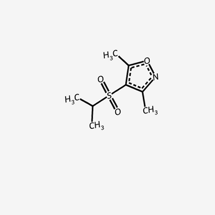 Cc1noc(C)c1S(=O)(=O)C(C)C